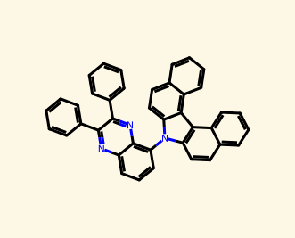 c1ccc(-c2nc3cccc(-n4c5ccc6ccccc6c5c5c6ccccc6ccc54)c3nc2-c2ccccc2)cc1